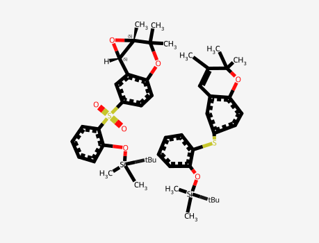 CC1(C)Oc2ccc(S(=O)(=O)c3ccccc3O[Si](C)(C)C(C)(C)C)cc2[C@@H]2O[C@@]21C.CC1=Cc2cc(Sc3ccccc3O[Si](C)(C)C(C)(C)C)ccc2OC1(C)C